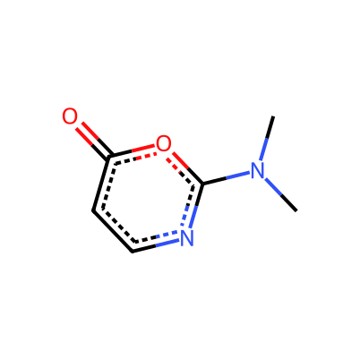 CN(C)c1nccc(=O)o1